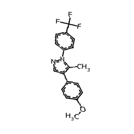 COc1ccc(-c2cnn(-c3ccc(C(F)(F)F)cc3)c2C)cc1